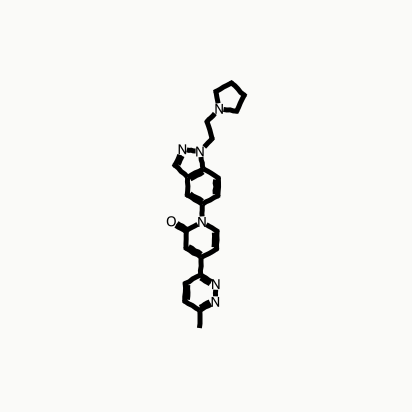 Cc1ccc(-c2ccn(-c3ccc4c(cnn4CCN4CCCC4)c3)c(=O)c2)nn1